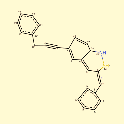 C(#CC1=CC2=C/C(=C\c3ccccc3)[SH]NC2C=C1)Cc1ccccc1